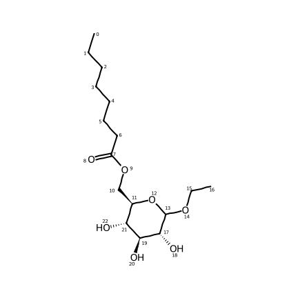 CCCCCCCC(=O)OC[C@H]1OC(OCC)[C@H](O)[C@@H](O)[C@@H]1O